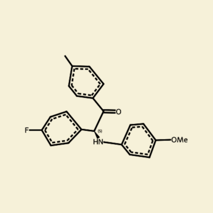 COc1ccc(N[C@H](C(=O)c2ccc(C)cc2)c2ccc(F)cc2)cc1